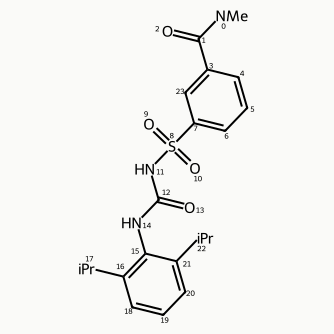 CNC(=O)c1cccc(S(=O)(=O)NC(=O)Nc2c(C(C)C)cccc2C(C)C)c1